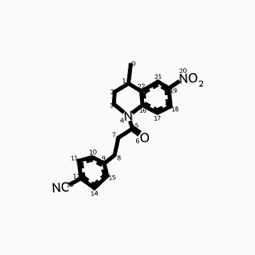 CC1CCN(C(=O)CCc2ccc(C#N)cc2)c2ccc([N+](=O)[O-])cc21